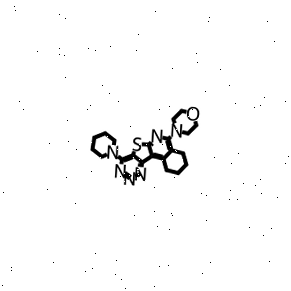 C1CCN(c2nnnc3c2sc2nc(N4CCOCC4)c4c(c23)CCCC4)CC1